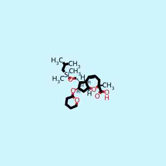 CC(C)C[Si](C)(C)OC[C@@H]1[C@H]2C=CC[C@](C)(C(=O)O)O[C@H]2C[C@H]1OC1CCCCO1